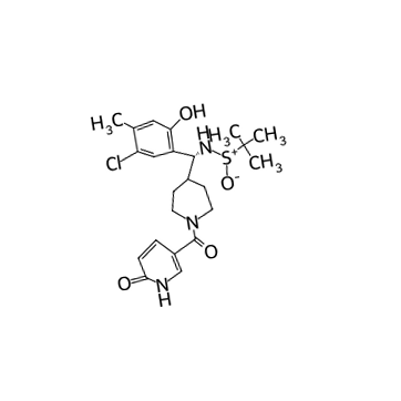 Cc1cc(O)c([C@H](N[S+]([O-])C(C)(C)C)C2CCN(C(=O)c3ccc(=O)[nH]c3)CC2)cc1Cl